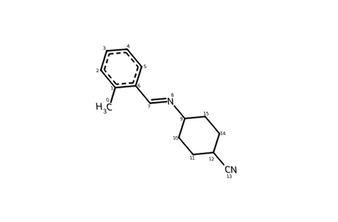 Cc1ccccc1/C=N/C1CCC(C#N)CC1